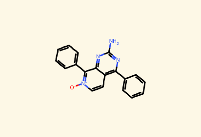 Nc1nc(-c2ccccc2)c2cc[n+]([O-])c(-c3ccccc3)c2n1